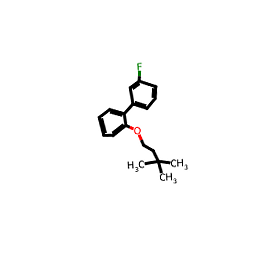 CC(C)(C)CCOc1ccccc1-c1cccc(F)c1